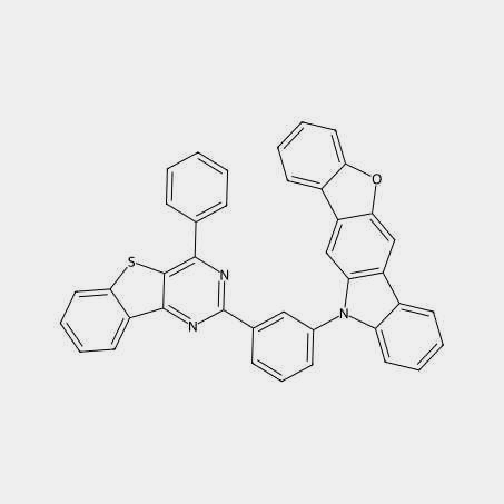 c1ccc(-c2nc(-c3cccc(-n4c5ccccc5c5cc6oc7ccccc7c6cc54)c3)nc3c2sc2ccccc23)cc1